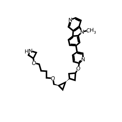 Cn1c2ccncc2c2ccc(-c3ccc(OC4CC([C@@H]5C[C@H]5COCCCCOC5CNC5)C4)nc3)cc21